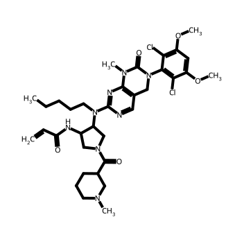 C=CC(=O)NC1CN(C(=O)C2CCCN(C)C2)CC1N(CCCCC)c1ncc2c(n1)N(C)C(=O)N(c1c(Cl)c(OC)cc(OC)c1Cl)C2